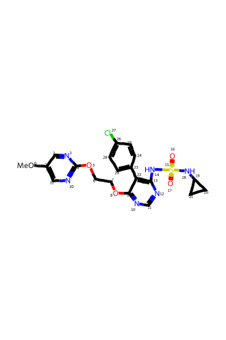 COc1cnc(OCCOc2ncnc(NS(=O)(=O)NC3CC3)c2-c2ccc(Cl)cc2)nc1